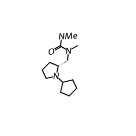 CNC(=O)N(C)C[C@H]1CCCN1C1CCCC1